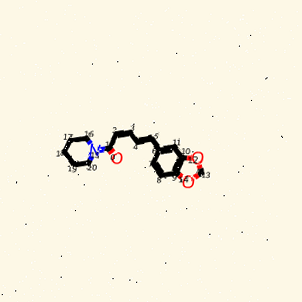 O=C(/C=C\C=C\c1ccc2c(c1)OCO2)N1CCCCC1